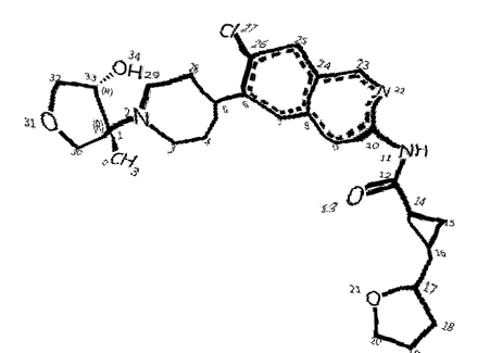 C[C@@]1(N2CCC(c3cc4cc(NC(=O)C5CC5C5CCCO5)ncc4cc3Cl)CC2)COC[C@@H]1O